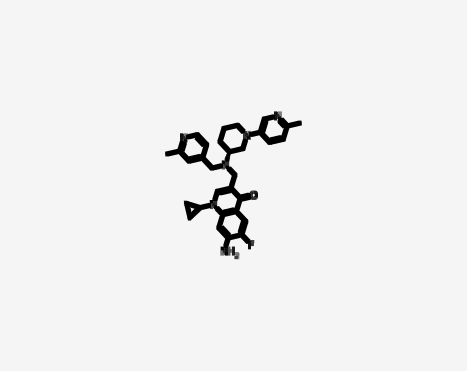 Cc1ccc(N2CCC[C@H](N(Cc3ccnc(C)c3)Cc3cn(C4CC4)c4cc(N)c(F)cc4c3=O)C2)cn1